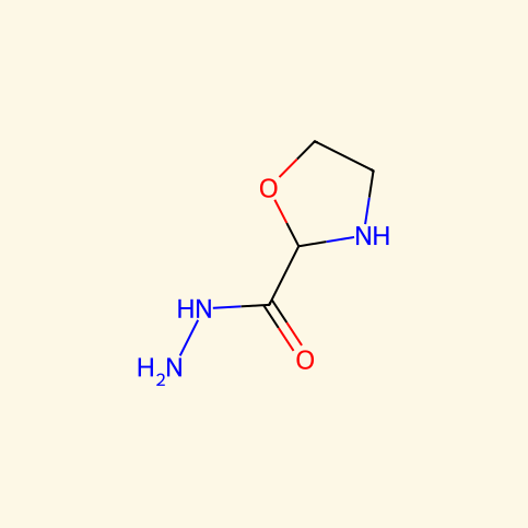 NNC(=O)C1NCCO1